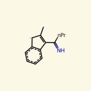 CCCC(=N)C1=C(C)[CH]c2ccccc21